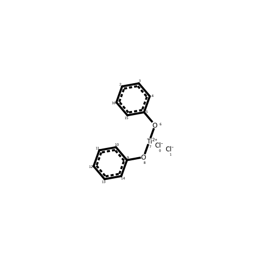 [Cl-].[Cl-].c1ccc([O][Ti+2][O]c2ccccc2)cc1